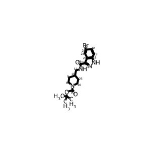 CC(C)(C)OC(=O)N1CCC(CNC(=O)c2n[nH]c3ccc(Br)cc23)CC1